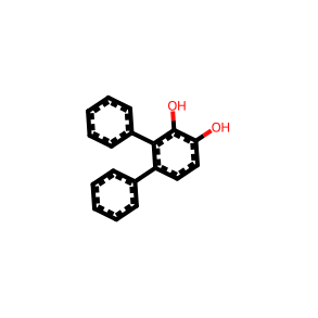 Oc1ccc(-c2ccccc2)c(-c2ccccc2)c1O